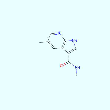 CNC(=O)c1c[nH]c2ncc(C)cc12